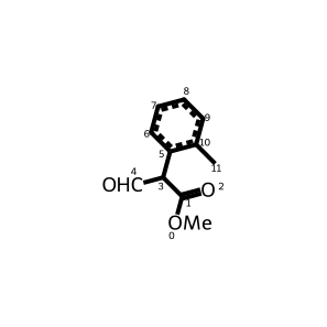 COC(=O)C(C=O)c1ccccc1C